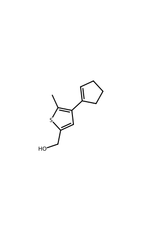 Cc1sc(CO)cc1C1=CCCC1